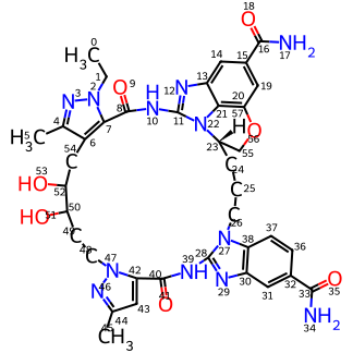 CCn1nc(C)c2c1C(=O)Nc1nc3cc(C(N)=O)cc4c3n1[C@@H](CCCn1c(nc3cc(C(N)=O)ccc31)NC(=O)c1cc(C)nn1CCC(O)C(O)C2)CO4